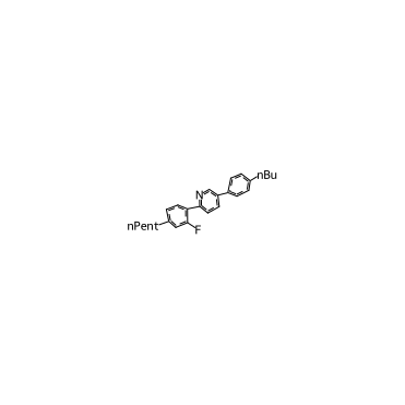 CCCCCc1ccc(-c2ccc(-c3ccc(CCCC)cc3)cn2)c(F)c1